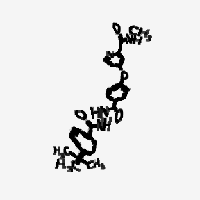 CNC(=O)c1cc(Oc2ccc(C(=O)NNC(=O)c3ccc(C(C)(C)C)cc3)cc2)ccn1